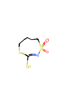 O=S1(=O)CCCSC(S)=N1